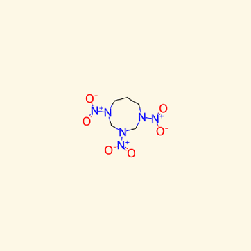 O=[N+]([O-])N1CCCN([N+](=O)[O-])CN([N+](=O)[O-])C1